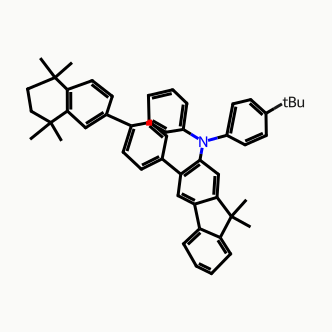 CC(C)(C)c1ccc(N(c2ccccc2)c2cc3c(cc2-c2ccc(-c4ccc5c(c4)C(C)(C)CCC5(C)C)cc2)-c2ccccc2C3(C)C)cc1